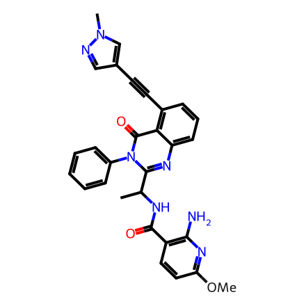 COc1ccc(C(=O)NC(C)c2nc3cccc(C#Cc4cnn(C)c4)c3c(=O)n2-c2ccccc2)c(N)n1